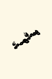 c1cncc(-n2c3ccccc3c3cc(-c4ccc5c(c4)-c4ccc(-c6ccc7c8cc(-c9ccc%10c(c9)-c9cccc%11cccc-%10c9%11)ccc8n(-c8ccncc8)c7c6)c6cccc-5c46)ccc32)c1